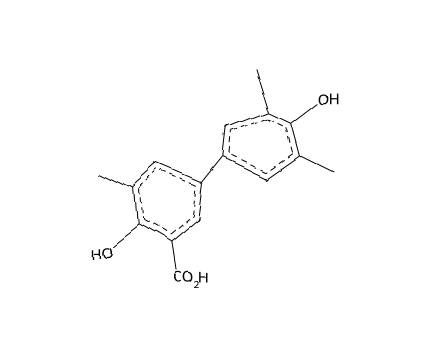 Cc1cc(-c2cc(C)c(O)c(C(=O)O)c2)cc(C)c1O